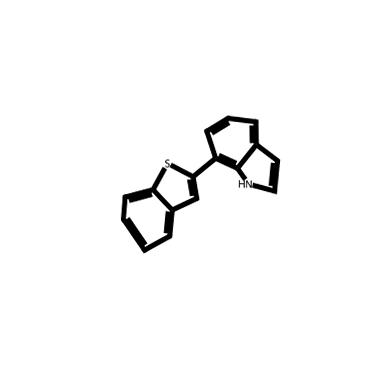 c1ccc2sc(-c3cccc4cc[nH]c34)cc2c1